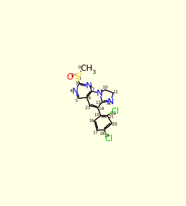 C[S+]([O-])c1ncc2c(n1)N1CCN=C1C(c1ccc(Cl)cc1Cl)=C2